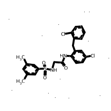 Cc1cc(C)cc(S(=O)(=O)NCC(=O)Nc2ccc(Cl)cc2Cc2ccccc2Cl)c1